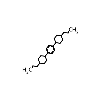 C=CCC1CCC(c2ccc(C3CCC(CC=C)CC3)cc2)CC1